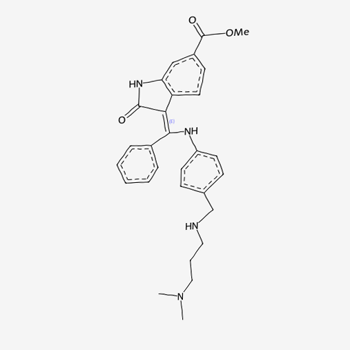 COC(=O)c1ccc2c(c1)NC(=O)/C2=C(/Nc1ccc(CNCCCN(C)C)cc1)c1ccccc1